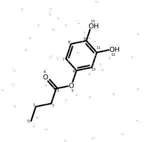 CCCC(=O)Oc1ccc(O)c(O)c1